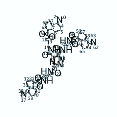 CN(C)c1cccc2c(S(=O)(=O)CCCNC(=O)c3nc(C(=O)NCCNS(=O)(=O)c4cccc5c(N(C)C)cccc45)nnc3C(=O)NCCNS(=O)(=O)c3cccc4c(N(C)C)cccc34)cccc12